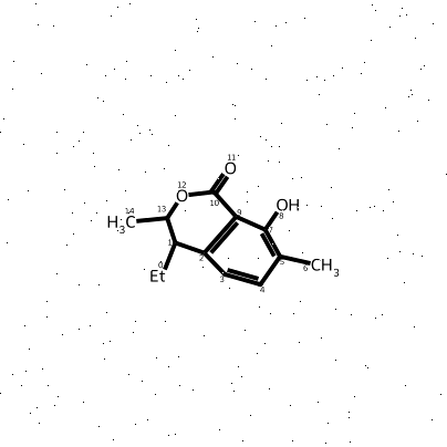 CCC1c2ccc(C)c(O)c2C(=O)OC1C